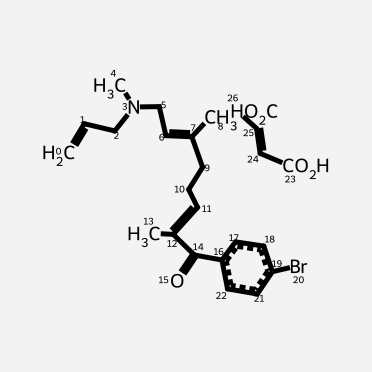 C=CCN(C)CC=C(C)CCC=C(C)C(=O)c1ccc(Br)cc1.O=C(O)C=CC(=O)O